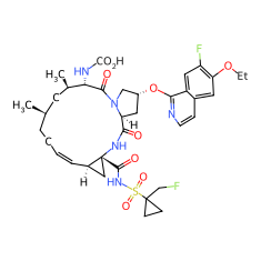 CCOc1cc2ccnc(O[C@@H]3C[C@H]4C(=O)N[C@]5(C(=O)NS(=O)(=O)C6(CF)CC6)C[C@H]5C=CCC[C@@H](C)C[C@@H](C)[C@H](NC(=O)O)C(=O)N4C3)c2cc1F